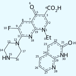 CCn1cc(C(=O)O)c(=O)c2cc(F)c(N3CCNCC3)nc21.O=c1ccc2cccnc2[nH]1